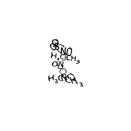 CN(C)C1(c2ccccc2)CCC2(CC1)CC(=O)N(CCC(C)(C)C(=O)N1CCS(=O)(=O)CC1)C2